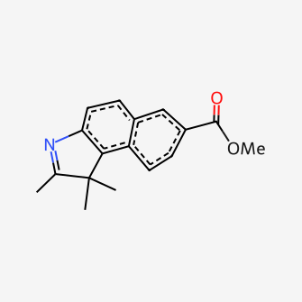 COC(=O)c1ccc2c3c(ccc2c1)N=C(C)C3(C)C